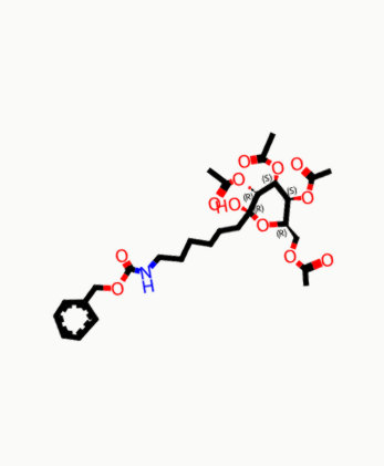 CC(=O)OC[C@H]1O[C@](O)(CCCCCCNC(=O)OCc2ccccc2)[C@H](OC(C)=O)[C@@H](OC(C)=O)[C@H]1OC(C)=O